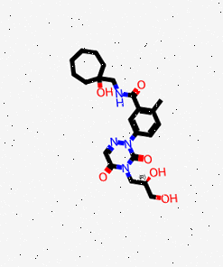 Cc1ccc(-n2ncc(=O)n(C[C@@H](O)CO)c2=O)cc1C(=O)NCC1(O)CCCCCC1